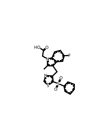 Cc1c(Cc2ncsc2S(=O)(=O)c2ccccc2)c2cc(F)ccc2n1CC(=O)O